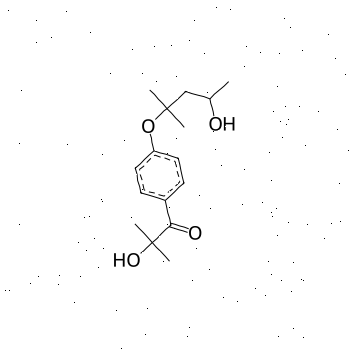 CC(O)CC(C)(C)Oc1ccc(C(=O)C(C)(C)O)cc1